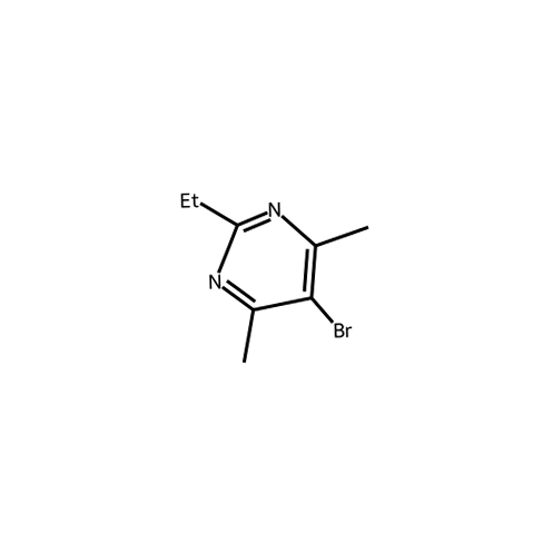 CCc1nc(C)c(Br)c(C)n1